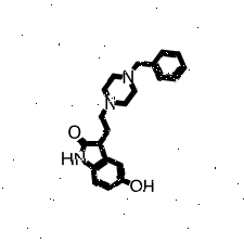 O=C1Nc2ccc(O)cc2C1CCN1CCN(Cc2ccccc2)CC1